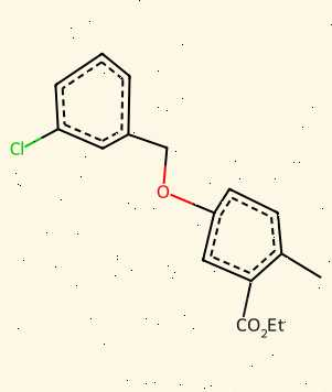 CCOC(=O)c1cc(OCc2cccc(Cl)c2)ccc1C